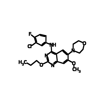 CCCOc1nc(Nc2ccc(F)c(Cl)c2)c2cc(N3CCOCC3)c(OC)cc2n1